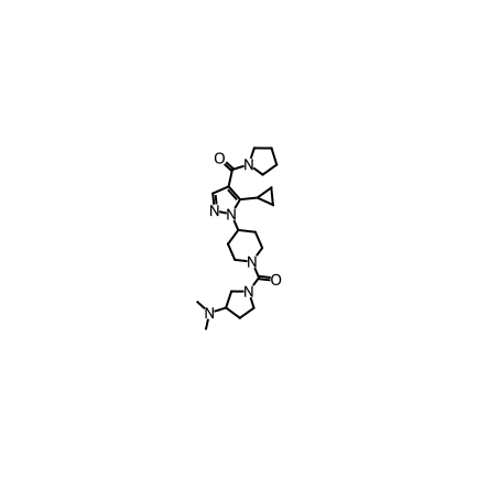 CN(C)C1CCN(C(=O)N2CCC(n3ncc(C(=O)N4CCCC4)c3C3CC3)CC2)C1